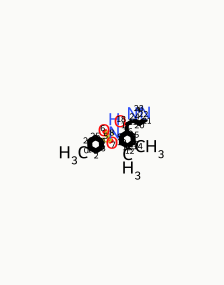 Cc1ccc(S(=O)(=O)Nc2cc(C)c(C)cc2C(=O)c2ccncn2)cc1